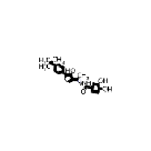 C/C(=N\NC(=O)c1ccc(O)c(O)c1)c1csc(-c2ccc(C(C)(C)C)cc2)c1O